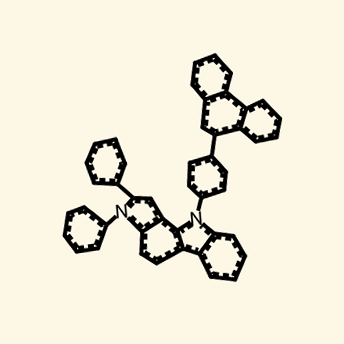 c1ccc(-c2cc3c(ccc4c5ccccc5n(-c5ccc(-c6cc7ccccc7c7ccccc67)cc5)c43)n2-c2ccccc2)cc1